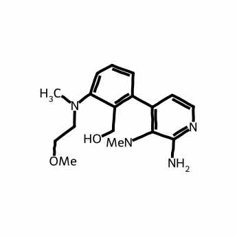 CNc1c(-c2cccc(N(C)CCOC)c2CO)ccnc1N